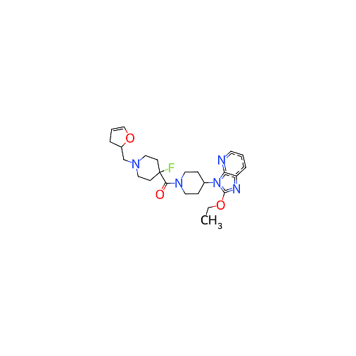 CCOc1nc2cccnc2n1C1CCN(C(=O)C2(F)CCN(CC3CC=CO3)CC2)CC1